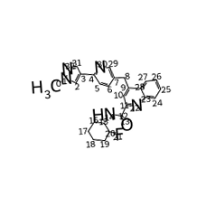 Cn1cc(-c2ccc(Cc3cc(C(=O)N[C@H]4CCCC[C@@H]4F)nc4ccccc34)cn2)cn1